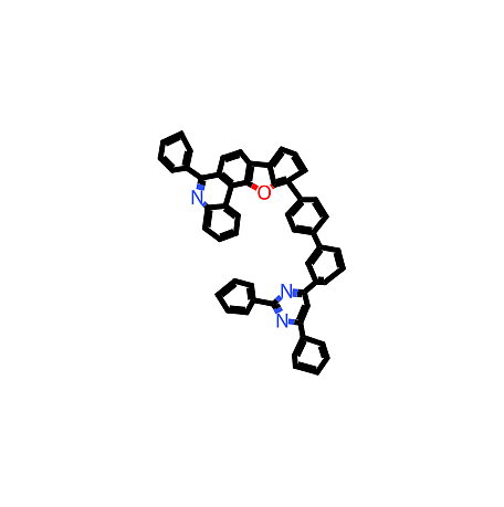 c1ccc(-c2cc(-c3cccc(-c4ccc(-c5cccc6c5oc5c6ccc6c(-c7ccccc7)nc7ccccc7c65)cc4)c3)nc(-c3ccccc3)n2)cc1